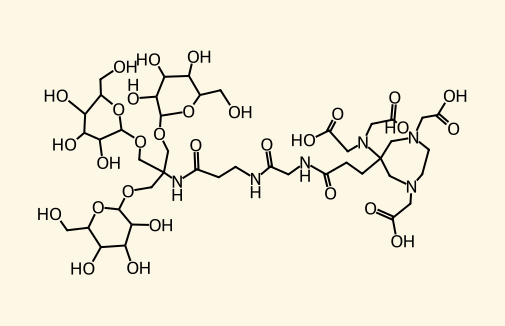 O=C(O)CN1CCN(CC(=O)O)CC(CCC(=O)NCC(=O)NCCC(=O)NC(COC2OC(CO)C(O)C(O)C2O)(COC2OC(CO)C(O)C(O)C2O)COC2OC(CO)C(O)C(O)C2O)(N(CC(=O)O)CC(=O)O)C1